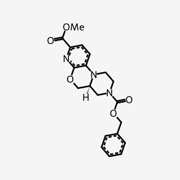 COC(=O)c1ccc2c(n1)OC[C@@H]1CN(C(=O)OCc3ccccc3)CCN21